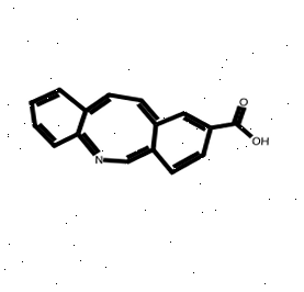 O=C(O)c1ccc2c(c1)=CC=c1ccccc1=NC=2